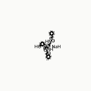 O=C(NCCC[C@H](NC(=O)c1cc2ccccc2o1)C(=O)Nc1cccc(O)c1)OCc1ccccc1.[NaH]